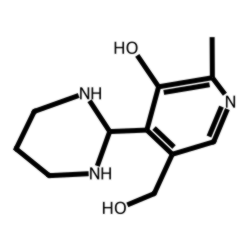 Cc1ncc(CO)c(C2NCCCN2)c1O